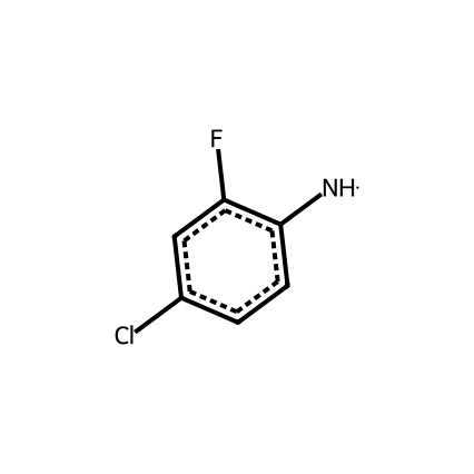 [NH]c1ccc(Cl)cc1F